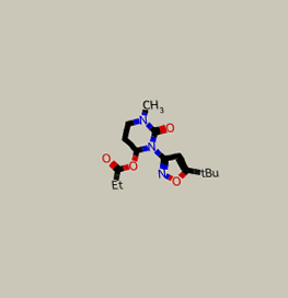 CCC(=O)OC1CCN(C)C(=O)N1c1cc(C(C)(C)C)on1